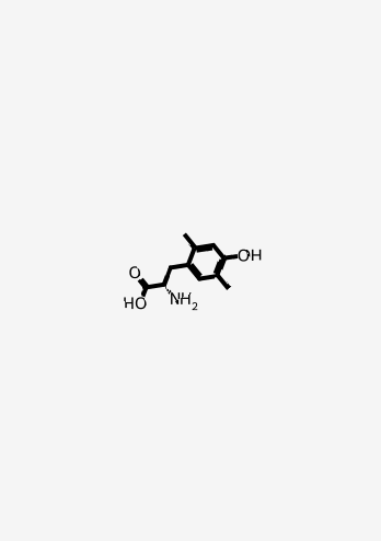 Cc1cc(C[C@H](N)C(=O)O)c(C)cc1O